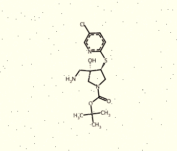 CC(C)(C)OC(=O)N1C[C@H](Sc2ccc(Cl)cn2)[C@](O)(CN)C1